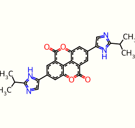 CC(C)c1ncc(-c2cc3oc(=O)c4cc(-c5cnc(C(C)C)[nH]5)cc5oc(=O)c(c2)c3c54)[nH]1